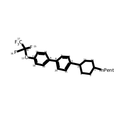 CCCCCC1CCC(c2ccc(-c3ccc(OC(F)(F)C(F)(F)F)cc3)cc2)CC1